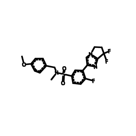 COc1ccc(CN(C)S(=O)(=O)c2ccc(F)c(-c3cn4c(n3)C(F)(F)CC4)c2)cc1